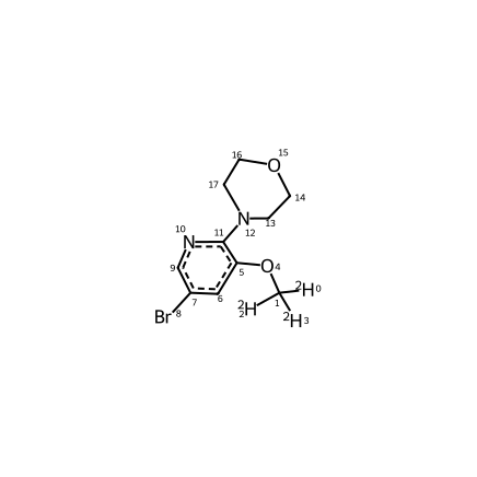 [2H]C([2H])([2H])Oc1cc(Br)cnc1N1CCOCC1